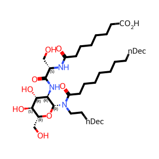 CCCCCCCCCCCCCCCCCC(=O)N(CCCCCCCCCCCC)[C@@H]1O[C@H](CO)[C@@H](O)[C@H](O)[C@H]1NC(=O)[C@H](CO)NC(=O)CCCCCCC(=O)O